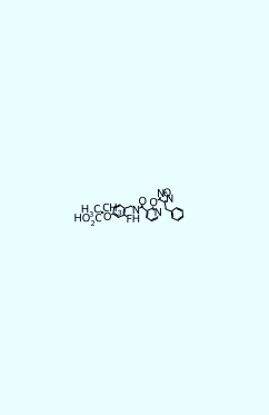 CC(C)(Oc1ccc(CNC(=O)c2cccnc2Oc2nonc2Cc2ccccc2)c(F)c1)C(=O)O